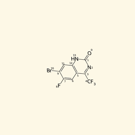 O=c1nc(C(F)(F)F)c2cc(F)c(Br)cc2[nH]1